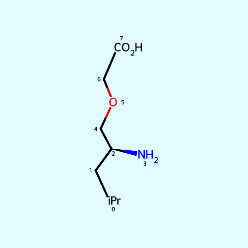 CC(C)C[C@H](N)COCC(=O)O